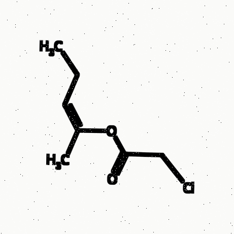 CCC=C(C)OC(=O)CCl